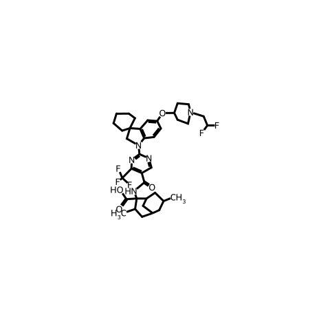 CC1CC2CC(C)C(NC(=O)c3cnc(N4CC5(CCCCC5)c5cc(OC6CCN(CC(F)F)CC6)ccc54)nc3C(F)(F)F)(C(=O)O)C(C1)C2